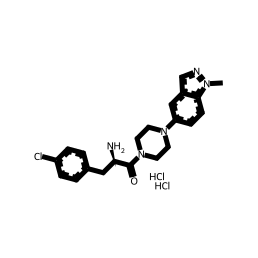 Cl.Cl.Cn1ncc2cc(N3CCN(C(=O)[C@H](N)Cc4ccc(Cl)cc4)CC3)ccc21